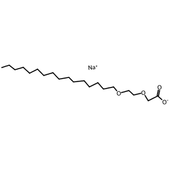 CCCCCCCCCCCCCCCCOCCOCC(=O)[O-].[Na+]